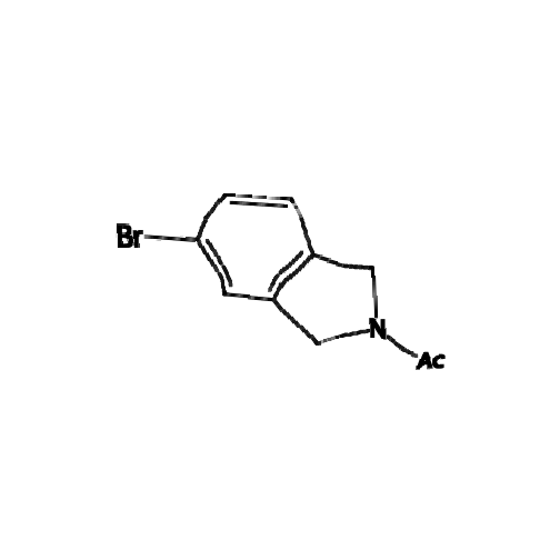 CC(=O)N1Cc2ccc(Br)cc2C1